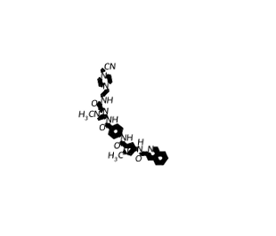 Cn1cc(NC(=O)c2cc3ccccc3cn2)cc1C(=O)Nc1ccc(C(=O)Nc2cn(C)c(C(=O)NCCN3CCN(CC#N)CC3)n2)cc1